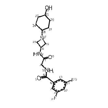 O=C(CNC(=O)c1cc(F)cc(F)c1)NC1CN(C2CCC(O)CC2)C1